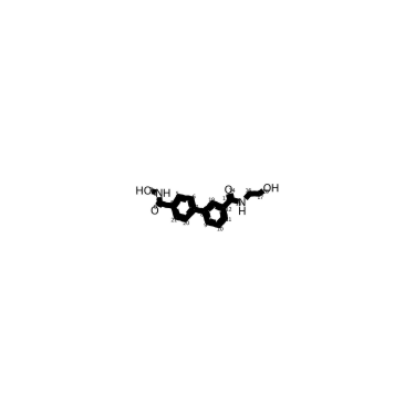 O=C(NO)c1ccc(-c2cccc(C(=O)NCCO)c2)cc1